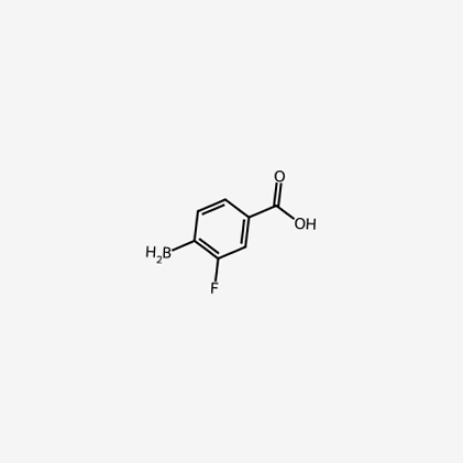 Bc1ccc(C(=O)O)cc1F